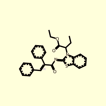 CCOC(=O)C(CC)n1c(=NC(=O)/C(=C/c2ccccc2)c2ccccc2)sc2ccccc21